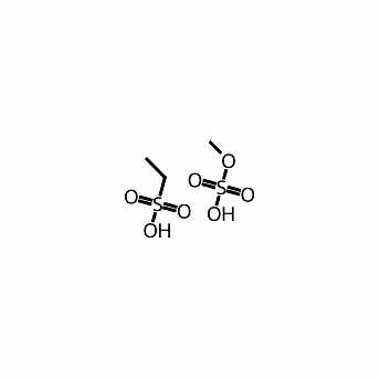 CCS(=O)(=O)O.COS(=O)(=O)O